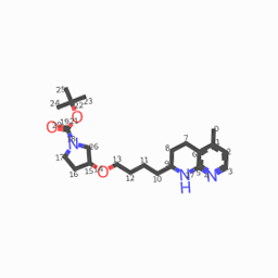 Cc1ccnc2c1CCC(CCCCOC1CCN(C(=O)OC(C)(C)C)C1)N2